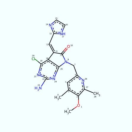 COc1c(C)cc(CN2C(=O)/C(=C\c3ncc[nH]3)c3c(Cl)nc(N)nc32)nc1C